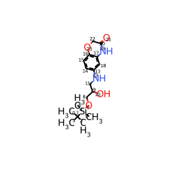 CC(C)(C)[Si](C)(C)OCC(O)CNc1ccc2c(c1)NC(=O)CO2